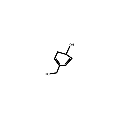 OCC1=CCC(O)C=C1